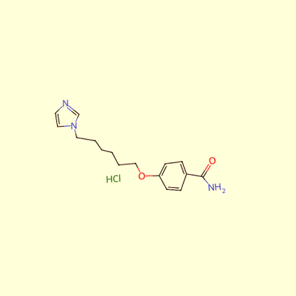 Cl.NC(=O)c1ccc(OCCCCCCn2ccnc2)cc1